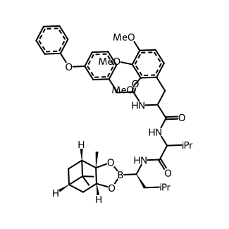 COc1ccc(CC(NC(=O)Cc2cccc(Oc3ccccc3)c2)C(=O)NC(C(=O)N[C@@H](CC(C)C)B2O[C@@H]3C[C@@H]4C[C@@H](C4(C)C)[C@]3(C)O2)C(C)C)c(OC)c1OC